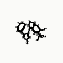 COc1cc2ncnc(-c3cn(C)nc3-c3ccccc3)c2cc1C(C)O